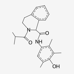 Cc1cc(NC(=O)C2c3ccccc3CCN2C(=O)C(C)C)c(C)c(C)c1O